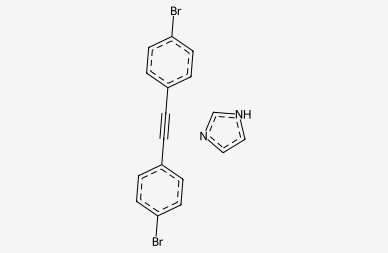 Brc1ccc(C#Cc2ccc(Br)cc2)cc1.c1c[nH]cn1